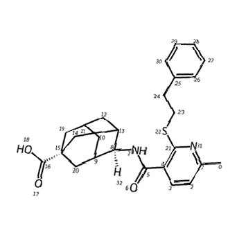 Cc1ccc(C(=O)N[C@H]2C3CC4CC2C[C@](C(=O)O)(C4)C3)c(SCCc2ccccc2)n1